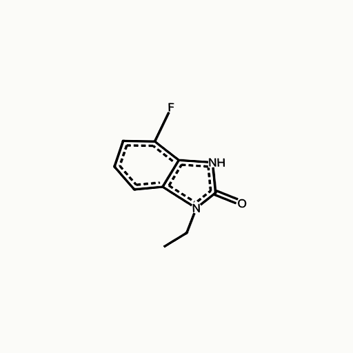 CCn1c(=O)[nH]c2c(F)cccc21